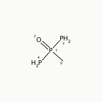 CP(=O)(P)P